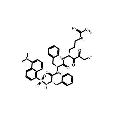 CN(C)c1cccc2c(S(=O)(=O)N[C@@H](Cc3ccccc3)C(=O)N[C@@H](Cc3ccccc3)C(=O)N[C@@H](CCCNC(=N)N)C(=O)C(=O)CCl)cccc12